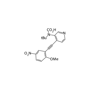 COc1ccc([N+](=O)[O-])cc1C#Cc1ccncc1N(C(=O)O)C(C)(C)C